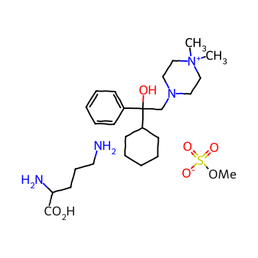 COS(=O)(=O)[O-].C[N+]1(C)CCN(CC(O)(c2ccccc2)C2CCCCC2)CC1.NCCCC(N)C(=O)O